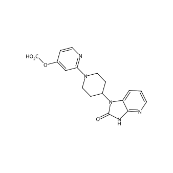 O=C(O)Oc1ccnc(N2CCC(n3c(=O)[nH]c4ncccc43)CC2)c1